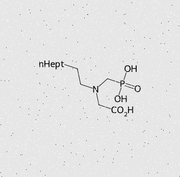 CCCCCCCCCN(CC(=O)O)CP(=O)(O)O